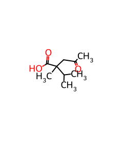 CC(=O)CC(C)(C(=O)O)C(C)C